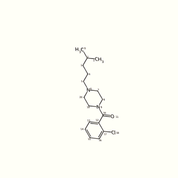 CC(C)CCCN1CCN(C(=O)c2ccccc2Cl)CC1